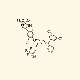 CC1(COc2cc(F)c(C(=O)NS(C)(=O)=O)cc2C2CC2)CN(C(c2ccccc2)c2cc(Cl)cc(Cl)c2)C1.O=C(O)C(F)(F)F